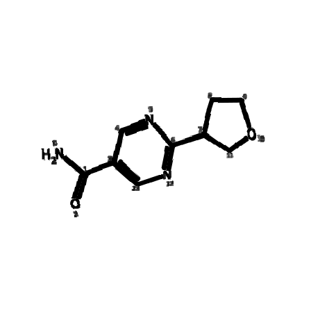 NC(=O)c1cnc(C2CCOC2)nc1